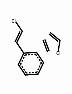 C=C.C=CCl.ClC=Cc1ccccc1